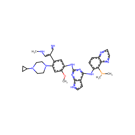 CN/C=C(\C=N)c1cc(Nc2nc(Nc3ccc4nccnc4c3P(C)C)c3cc[nH]c3n2)c(OC)cc1N1CCN(C2CC2)CC1